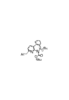 CC(=O)Cc1ccc(-c2ccccc2)c(N(C(=O)OC(C)(C)C)C(=O)OC(C)(C)C)n1